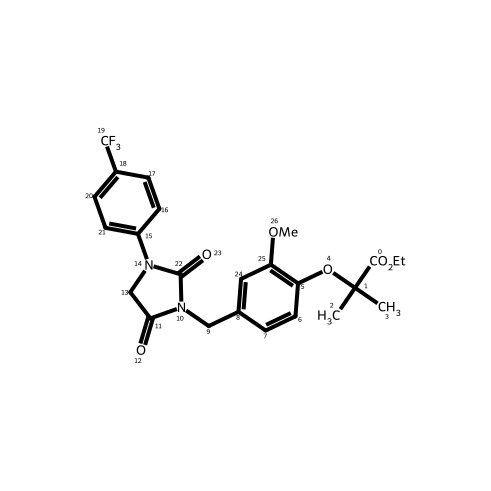 CCOC(=O)C(C)(C)Oc1ccc(CN2C(=O)CN(c3ccc(C(F)(F)F)cc3)C2=O)cc1OC